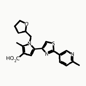 Cc1ccc(-c2nc(-c3cc(C(=O)O)c(C)n3CC3CCCO3)cs2)cn1